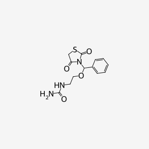 NC(=O)NCCOC(c1ccccc1)N1C(=O)CSC1=O